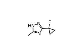 Cc1nc(C2(F)CC2)n[nH]1